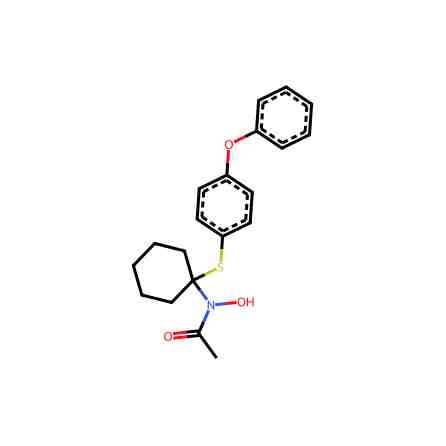 CC(=O)N(O)C1(Sc2ccc(Oc3ccccc3)cc2)CCCCC1